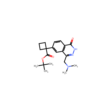 CN(C)Cc1n[nH]c(=O)c2ccc(C3(C(=O)OC(C)(C)C)CCC3)cc12